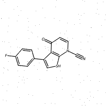 N#Cn1ccc(=O)c2c1[SH]C=C2c1ccc(F)cc1